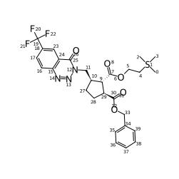 CS(C)(C)CCOC(=O)[C@H]1[C@H](Cn2nnc3ccc(C(F)(F)F)cc3c2=O)CC[C@@H]1C(=O)OCc1ccccc1